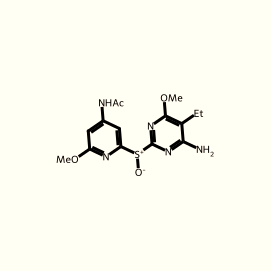 CCc1c(N)nc([S+]([O-])c2cc(NC(C)=O)cc(OC)n2)nc1OC